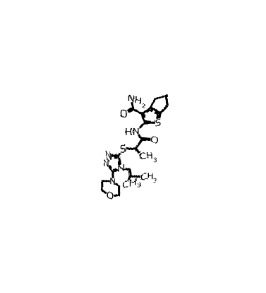 CC(C)Cn1c(SC(C)C(=O)Nc2sc3c(c2C(N)=O)CCC3)nnc1N1CCOCC1